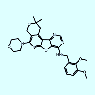 COc1cccc(CNc2ncnc3c2oc2nc(N4CCOCC4)c4c(c23)CC(C)(C)OC4)c1OC